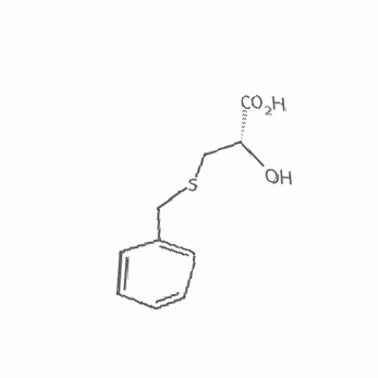 O=C(O)[C@H](O)CSCc1ccccc1